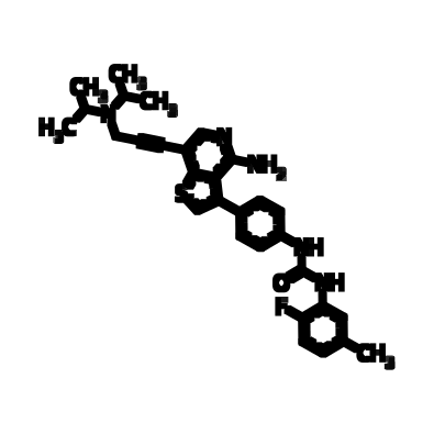 Cc1ccc(F)c(NC(=O)Nc2ccc(-c3csc4c(C#CCN(C(C)C)C(C)C)cnc(N)c34)cc2)c1